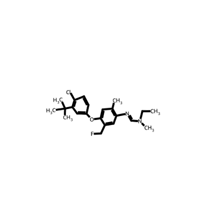 CCN(C)C=Nc1cc(CF)c(Oc2ccc(Cl)c(C(C)(C)C)c2)cc1C